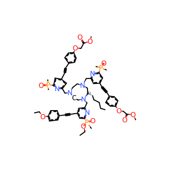 CCCCC[C@H]1CN(Cc2cc(C#Cc3ccc(OCC(=O)OC)cc3)cc(P(C)(C)=O)n2)CCN(Cc2cc(C#Cc3ccc(OCC(=O)OC)cc3)cc(P(C)(C)=O)n2)CCN1Cc1cc(C#Cc2ccc(OCC)cc2)cc(P(C)(=O)OCC)n1